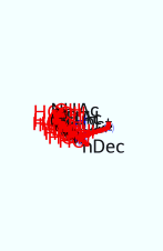 CCCCCCCC/C=C\CCCCCCCCCCCCCCCC(=O)N[C@@H](CO[C@@H]1OC(CO)[C@@H](O[C@@H]2OC(CO)[C@H](O[C@@H]3OC(CO)[C@H](O)[C@H](O[C@@H]4OC(CO)[C@H](O)[C@H](O[C@]5(C(=O)O)CC(O)[C@@H](NC(C)=O)C([C@H](O)[C@H](O)CO)O5)C4NC(C)=O)C3O)[C@H](O)C2O)[C@H](O)C1O)[C@H](O)/C=C/CCCCCCCCCCCCC